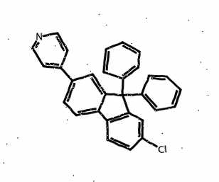 Clc1ccc2c(c1)C(c1ccccc1)(c1ccccc1)c1cc(-c3ccncc3)ccc1-2